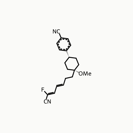 CO[C@]1(CCC=CC=C(F)C#N)CC[C@H](c2ccc(C#N)cc2)CC1